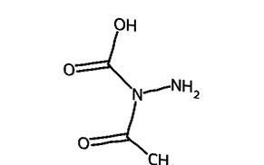 CC(=O)N(N)C(=O)O